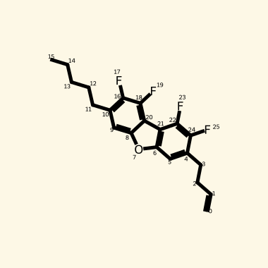 C=CCCc1cc2oc3cc(CCCCC)c(F)c(F)c3c2c(F)c1F